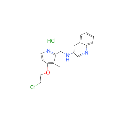 Cc1c(OCCCl)ccnc1CNc1cnc2ccccc2c1.Cl